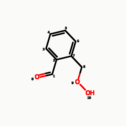 O=Cc1ccccc1COO